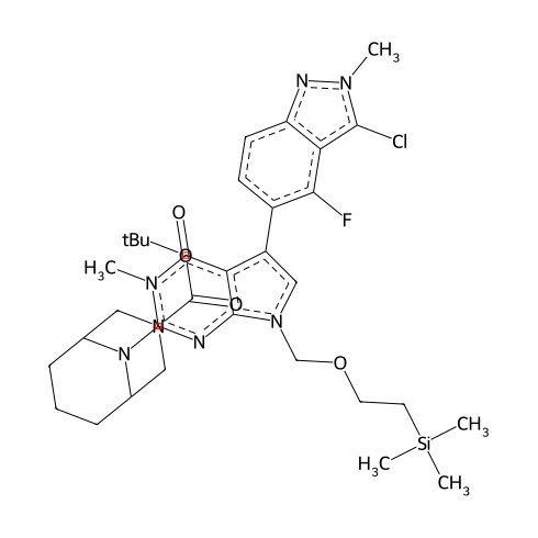 Cn1nc2ccc(-c3cn(COCC[Si](C)(C)C)c4nc(N5C6CCCC5CN(C(=O)OC(C)(C)C)C6)n(C)c(=O)c34)c(F)c2c1Cl